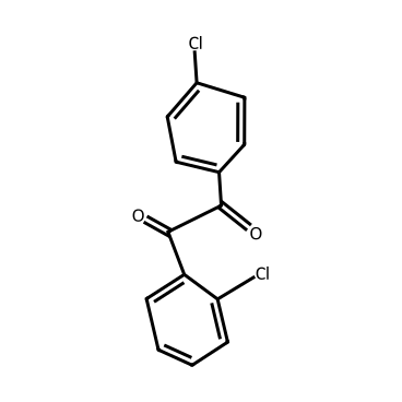 O=C(C(=O)c1ccccc1Cl)c1ccc(Cl)cc1